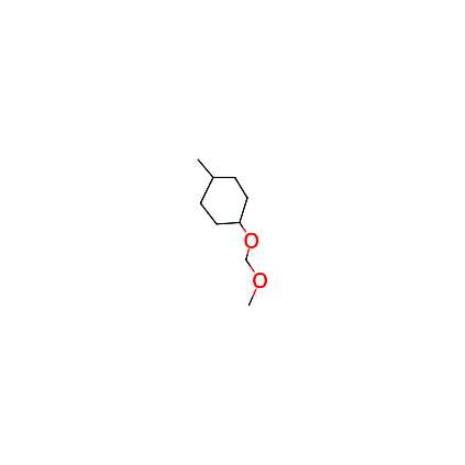 COCOC1CCC(C)CC1